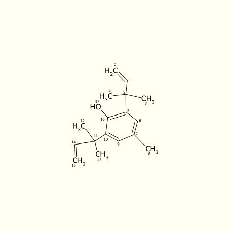 C=CC(C)(C)c1cc(C)cc(C(C)(C)C=C)c1O